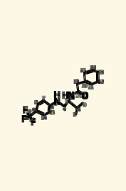 CC(C)[C@@H](CNc1ccc(C(F)(F)F)cc1)NC(=O)Cc1ccccc1